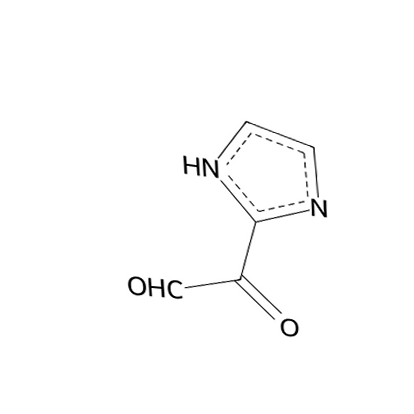 O=CC(=O)c1ncc[nH]1